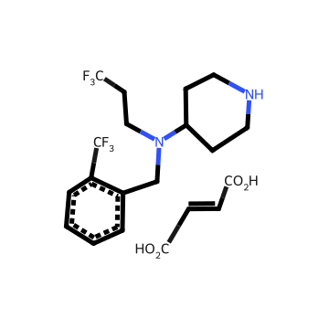 FC(F)(F)CCN(Cc1ccccc1C(F)(F)F)C1CCNCC1.O=C(O)/C=C/C(=O)O